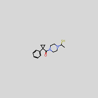 CC(S)N1CCN(C(=O)C2(c3ccccc3)CC2)CC1